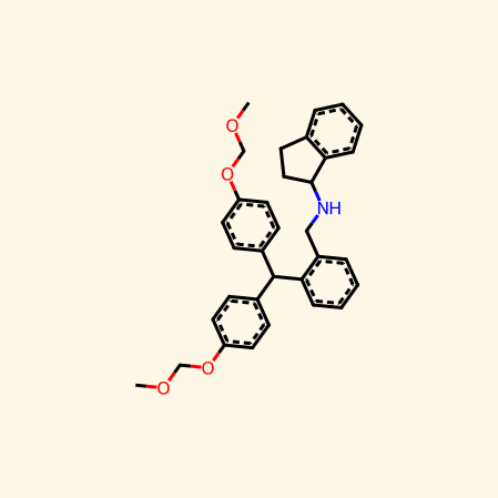 COCOc1ccc(C(c2ccc(OCOC)cc2)c2ccccc2CNC2CCc3ccccc32)cc1